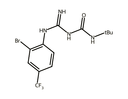 CC(C)(C)NC(=O)NC(=N)Nc1ccc(C(F)(F)F)cc1Br